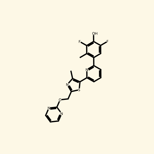 Cc1nc(COc2ncccn2)sc1-c1cccc(-c2cc(F)c(O)c(F)c2C)n1